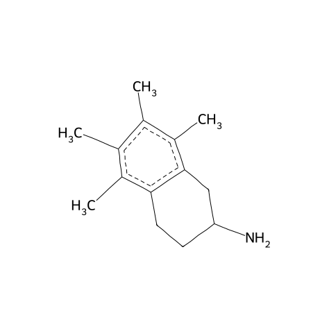 Cc1c(C)c(C)c2c(c1C)CCC(N)C2